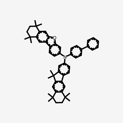 CC1(C)CCC(C)(C)c2cc3c(cc21)-c1ccc(N(c2ccc(-c4ccccc4)cc2)c2ccc4c(c2)oc2cc5c(cc24)C(C)(C)CCC5(C)C)cc1C3(C)C